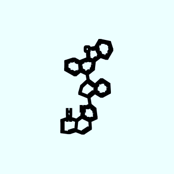 C1=CNC2C(=C1)C=Cc1ccc(C3=c4ccccc4=C(c4cc5c6ccccc6oc5c5ccccc45)CC3)nc12